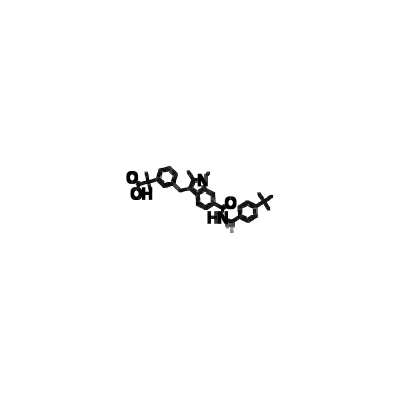 Cc1c(Cc2cccc(C(C)(C)C(=O)O)c2)c2ccc(C(=O)N[C@@H](C)c3ccc(C(C)(C)C)cc3)cc2n1C